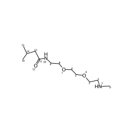 CNCCOCCOCCNC(=O)CC(C)C